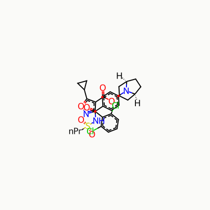 CCCS(=O)(=O)NC(=O)c1ccc(N2[C@@H]3CC[C@H]2C[C@H](OC(=O)c2c(-c4c(Cl)cccc4Cl)noc2C2CC2)C3)cc1